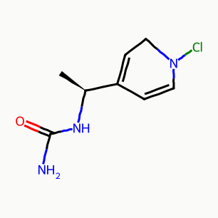 C[C@H](NC(N)=O)C1=CCN(Cl)C=C1